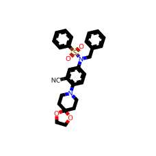 N#Cc1cc(N(Cc2ccccc2)S(=O)(=O)c2ccccc2)ccc1N1CCC2(CC1)OCCO2